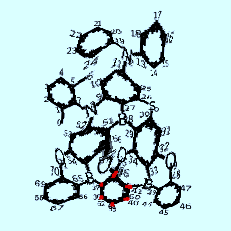 Cc1cccc(C)c1N1c2cc(N(c3ccccc3)c3ccccc3)cc3c2B(c2c(cc4c5c2Oc2ccccc2B5c2ccccc2O4)S3)c2c1cc1c3c2Oc2ccccc2B3c2ccccc2O1